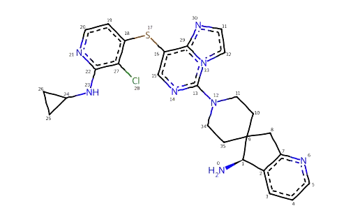 N[C@@H]1c2cccnc2CC12CCN(c1ncc(Sc3ccnc(NC4CC4)c3Cl)c3nccn13)CC2